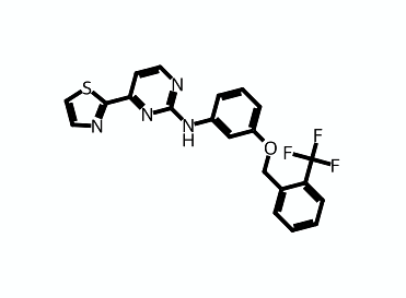 FC(F)(F)c1ccccc1COc1cccc(Nc2nccc(-c3nccs3)n2)c1